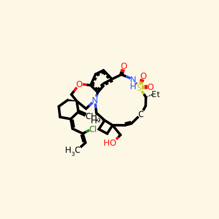 C=C1/C(=C\C(Cl)=C/C)CCC[C@]12COc1ccc3cc1N(C[C@@H]1CCC1(CO)/C=C\CC[C@@H](CC)S(=O)(=O)NC3=O)C2